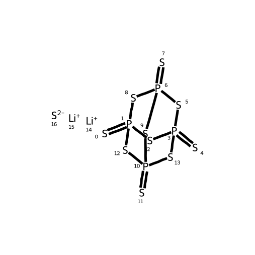 S=P12SP3(=S)SP(=S)(S1)SP(=S)(S2)S3.[Li+].[Li+].[S-2]